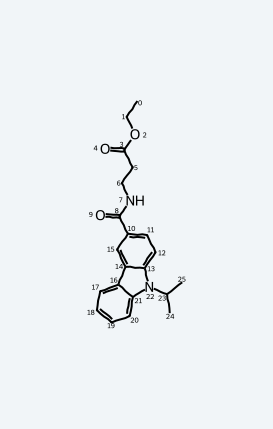 CCOC(=O)CCNC(=O)c1ccc2c(c1)c1ccccc1n2C(C)C